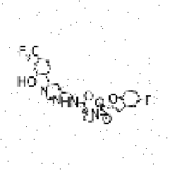 O=C(NCc1cc(-c2ccc(C(F)(F)F)cc2O)ncn1)[C@@H]1CCN1S(=O)(=O)c1cc2cc(F)ccc2o1